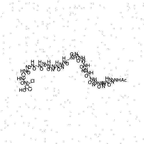 CC(=O)Nc1cn(C)c(C(=O)Nc2cn(C)c(C(=O)Nc3cn(C)c(C(=O)NCCC(=O)Nc4cn(C)c(C(=O)Nc5cc(C(=O)Nc6cc(C(=O)NCCCC(=O)Nc7cn(C)c(C(=O)Nc8cn(C)c(C(=O)Nc9cc(C(=O)NCCC(=O)Nc%10cc(C(=O)Nc%11ccc%12[nH]c(C(=O)N%13CC(CCl)c%14c%13cc(O)c%13ccccc%14%13)cc%12c%11)n(C)c%10)n(C)c9)n8)n7)n(C)c6)n(C)c5)n4)n3)n2)n1